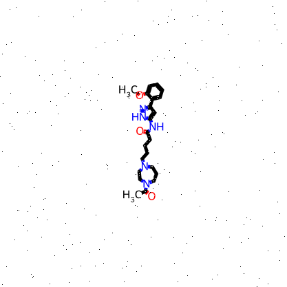 COc1ccccc1-c1cc(NC(=O)CCCCN2CCCN(C(C)=O)CC2)[nH]n1